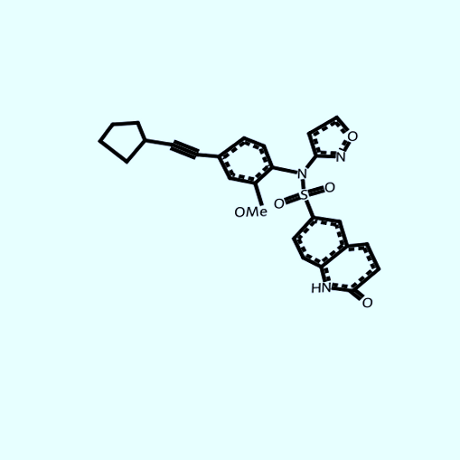 COc1cc(C#CC2CCCC2)ccc1N(c1ccon1)S(=O)(=O)c1ccc2[nH]c(=O)ccc2c1